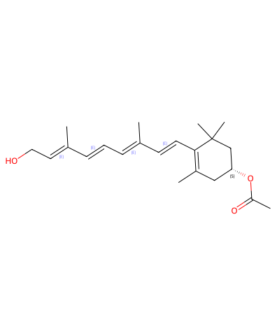 CC(=O)O[C@@H]1CC(C)=C(/C=C/C(C)=C/C=C/C(C)=C/CO)C(C)(C)C1